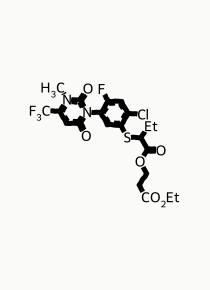 CCOC(=O)CCOC(=O)C(CC)Sc1cc(-n2c(=O)cc(C(F)(F)F)n(C)c2=O)c(F)cc1Cl